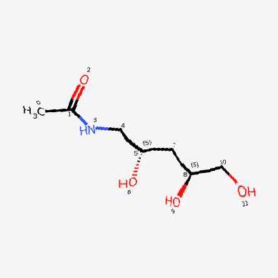 CC(=O)NC[C@@H](O)C[C@H](O)CO